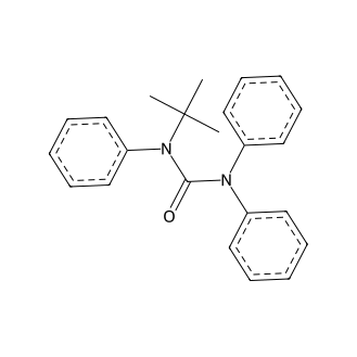 CC(C)(C)N(C(=O)N(c1ccccc1)c1ccccc1)c1ccccc1